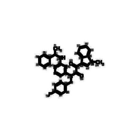 CC(Nc1nccc(N(Cc2ccc(F)cc2)C(=O)C(=O)c2cn(C)c3ccccc23)n1)c1ccccc1